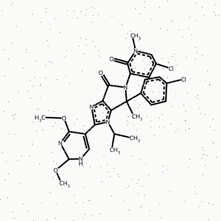 COC1=NC(OC)NC=C1c1nc2c(n1C(C)C)C(C)(c1ccc(Cl)cc1)N(c1cc(Cl)cn(C)c1=O)C2=O